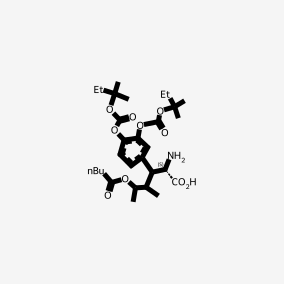 CCCCC(=O)OC(C)C(C)C(c1ccc(OC(=O)OC(C)(C)CC)c(OC(=O)OC(C)(C)CC)c1)[C@H](N)C(=O)O